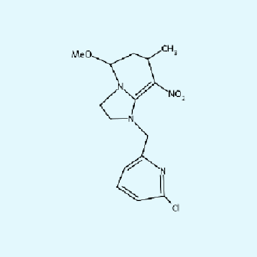 COC1CC(C)C([N+](=O)[O-])=C2N(Cc3cccc(Cl)n3)CCN21